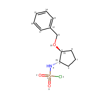 O=S(=O)(Cl)N[C@H]1CCC[C@@H]1OCc1ccccc1